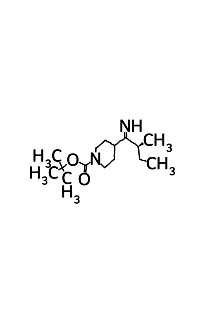 CC[C@H](C)C(=N)C1CCN(C(=O)OC(C)(C)C)CC1